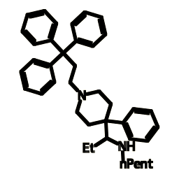 CCCCCNC(CC)C1(c2ccccc2)CCN(CCC(c2ccccc2)(c2ccccc2)c2ccccc2)CC1